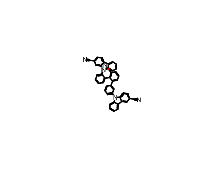 N#Cc1ccc2c(c1)c1ccccc1n2-c1cccc(-c2cccc(C#N)c2-c2ccccc2-n2c3ccccc3c3ccc(C#N)cc32)c1